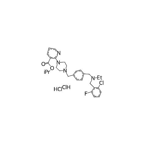 CCN(Cc1ccc(CN2CCN(c3ncccc3C(=O)OC(C)C)CC2)cc1)Cc1c(F)cccc1Cl.Cl.Cl